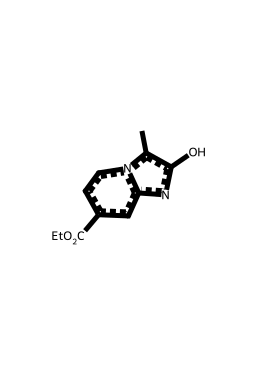 CCOC(=O)c1ccn2c(C)c(O)nc2c1